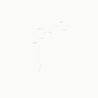 CC(C)CCCCCOC(=O)C1CCCC(C(=O)OC2CCCCC2)C1